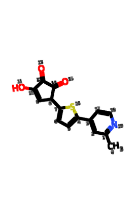 Cc1cc(-c2ccc(C3C=C(O)C(=O)C3=O)s2)ccn1